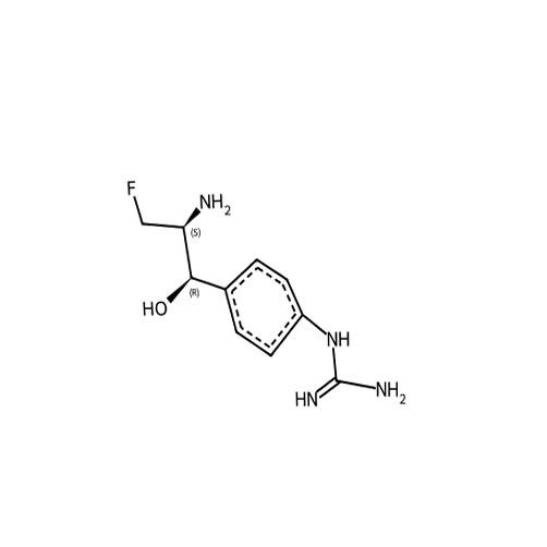 N=C(N)Nc1ccc([C@@H](O)[C@H](N)CF)cc1